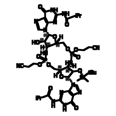 CC(C)C(=O)Nc1nc2c(ncn2[C@@H]2O[C@@H]3COP(=O)(OCCC#N)N[C@H]4[C@@H](O)[C@H](n5cnc6c(=O)[nH]c(NC(=O)C(C)C)nc65)O[C@@H]4COP(=O)(OCCC#N)N[C@H]3C2O[Si](C)(C)C(C)(C)C)c(=O)[nH]1